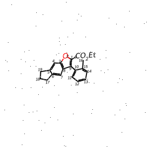 CCOC(=O)c1oc2cc3c(cc2c1-c1ccccc1C)CCC3